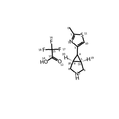 Cc1nc(C2[C@H]3CNC[C@@H]23)cs1.O=C(O)C(F)(F)F